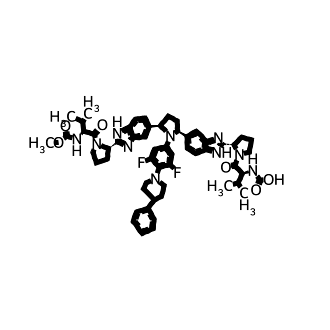 COC(=O)N[C@H](C(=O)N1CCC[C@H]1c1nc2cc([C@H]3CC[C@@H](c4ccc5[nH]c([C@@H]6CCCN6C(=O)[C@@H](NC(=O)O)C(C)C)nc5c4)N3c3cc(F)c(N4CCC(c5ccccc5)CC4)c(F)c3)ccc2[nH]1)C(C)C